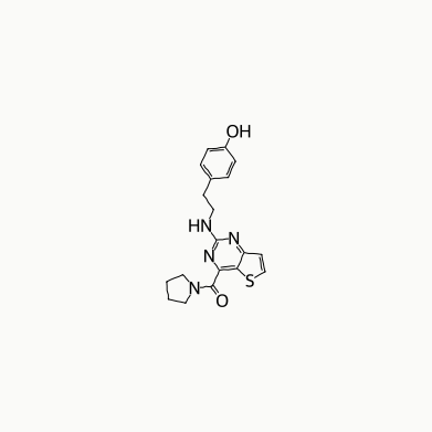 O=C(c1nc(NCCc2ccc(O)cc2)nc2ccsc12)N1CCCC1